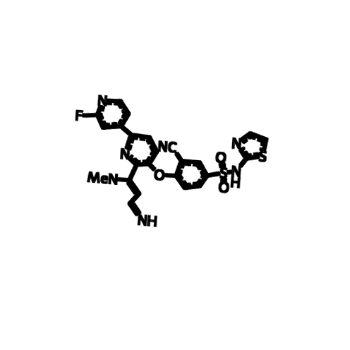 CN/C(=C\C=N)c1nc(-c2ccnc(F)c2)ccc1Oc1ccc(S(=O)(=O)Nc2nccs2)cc1C#N